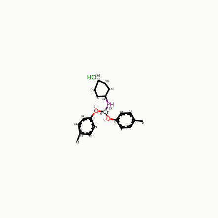 Cc1ccc([O][Cr]([O]c2ccc(C)cc2)[PH]C2CCCCC2)cc1.Cl